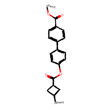 CCCCCOC(=O)c1ccc(-c2ccc(OC(=O)C3CC(CCCCC)C3)cc2)cc1